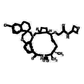 C[C@@H]1[C@@H](C)C/C=C/[C@H](OCC(=O)NC2COC2)[C@@H]2CC[C@H]2CN2C[C@@]3(CCCc4cc(Cl)ccc43)COc3ccc(cc32)C(=O)NS1(=O)=O